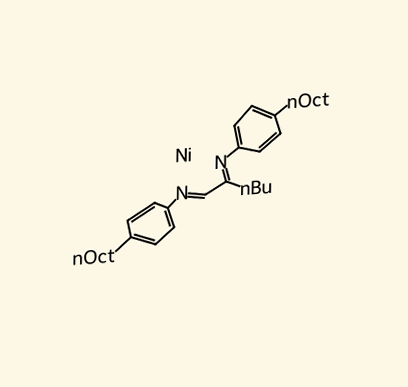 CCCCCCCCc1ccc(N=CC(CCCC)=Nc2ccc(CCCCCCCC)cc2)cc1.[Ni]